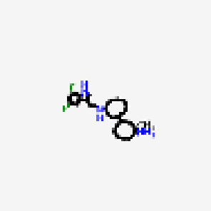 CC1(N)CCCCCCC(C2CCCCCCC(NCCc3c[nH]c4c(F)cc(F)cc34)CC2)CC1